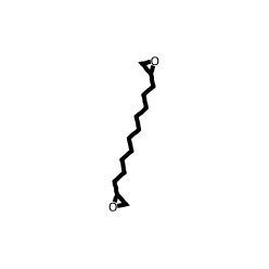 C(CCCCCC1CO1)CCCCC1CO1